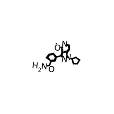 COc1nccc2c1c(-c1cccc(C(N)=O)c1)nn2C1CCCC1